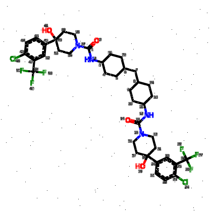 O=C(NC1CCC(CC2CCC(NC(=O)N3CCC(O)(c4ccc(Cl)c(C(F)(F)F)c4)CC3)CC2)CC1)N1CCC(O)(c2ccc(Cl)c(C(F)(F)F)c2)CC1